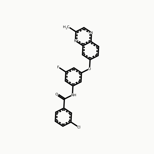 Cc1cnc2ccc(Oc3cc(F)cc(NC(=O)c4cccc(Cl)c4)c3)cc2n1